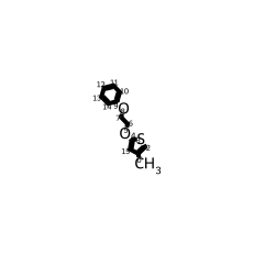 Cc1csc(OCCOc2ccccc2)c1